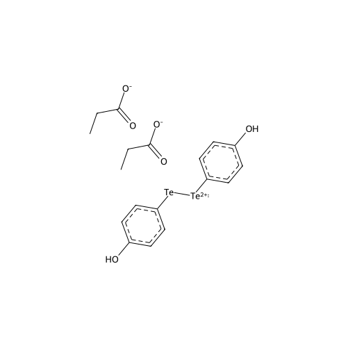 CCC(=O)[O-].CCC(=O)[O-].Oc1ccc([Te][Te+2]c2ccc(O)cc2)cc1